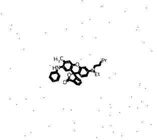 CCN(CCC(C)C)c1ccc2c(c1)Oc1cc(C)c(Nc3ccccc3)cc1[C@]21OC(=O)c2ccccc21